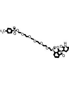 Cc1ccc(S(=O)(=O)OCCOCCOCCOCCOCCOCC[S+]([O-])c2cccc3c2C(=O)N(C2CCC(=O)NC2=O)C3=O)cc1